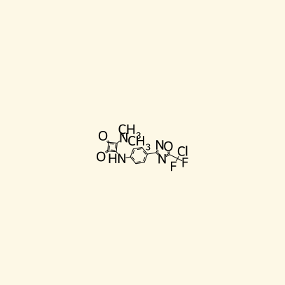 CN(C)c1c(Nc2ccc(-c3noc(C(F)(F)Cl)n3)cc2)c(=O)c1=O